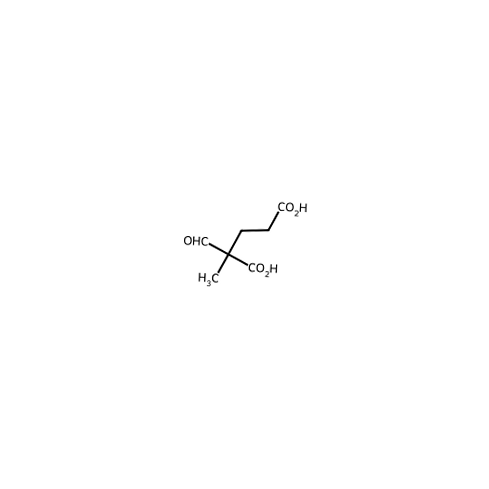 CC(C=O)(CCC(=O)O)C(=O)O